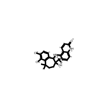 CC1(C)CCC(O)(C(F)(F)F)C(Nc2cccc3[nH]c(=O)ccc23)c2ccc(Cl)c(Cl)c21